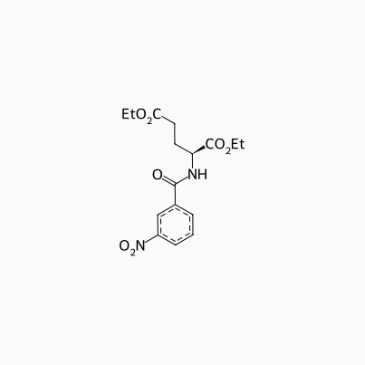 CCOC(=O)CC[C@H](NC(=O)c1cccc([N+](=O)[O-])c1)C(=O)OCC